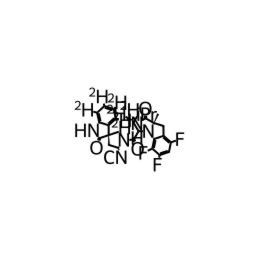 [2H]c1c([2H])c([2H])c2c(c1[2H])NC(=O)[C@]21C[C@@H](C#N)N(C(=O)C(CC(C)C)N2c3c(F)c(F)cc(F)c3C[C@@]2(C)C(=O)NC([2H])([2H])[2H])C1